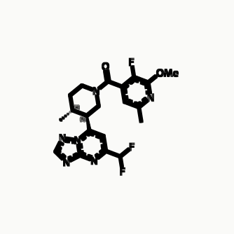 COc1nc(C)cc(C(=O)N2CC[C@@H](C)[C@H](c3cc(C(F)F)nc4ncnn34)C2)c1F